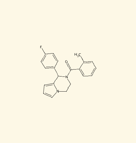 Cc1ccccc1C(=O)N1CCn2cccc2C1c1ccc(F)cc1